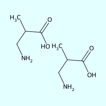 CC(CN)C(=O)O.CC(CN)C(=O)O